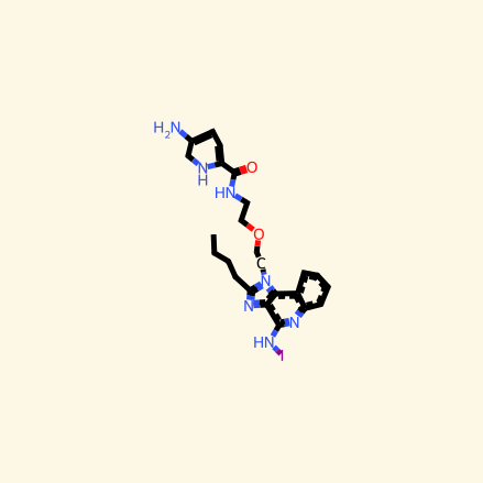 CCCCc1nc2c(NI)nc3ccccc3c2n1CCOCCNC(=O)C1=CC=C(N)CN1